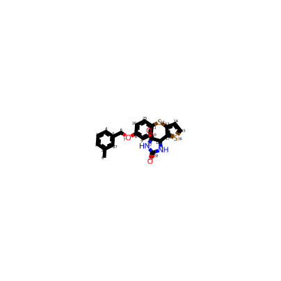 Cc1cccc(COc2ccc(Sc3ccsc3C3NC(=O)NC3=O)cc2)c1